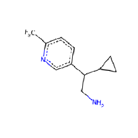 NCC(c1ccc(C(F)(F)F)nc1)C1CC1